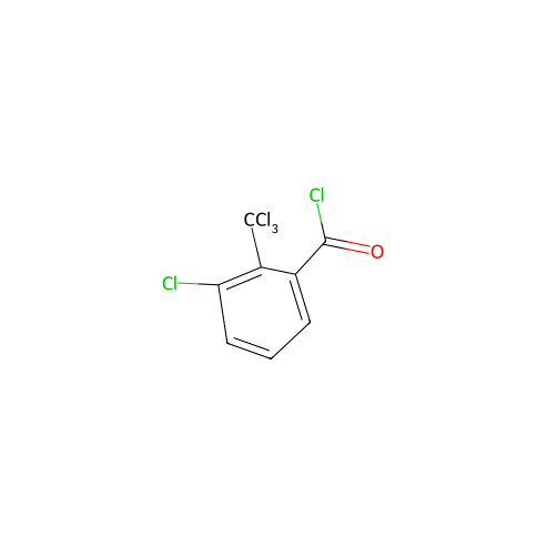 O=C(Cl)c1cccc(Cl)c1C(Cl)(Cl)Cl